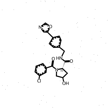 O=C(NCc1ccc(-c2cnco2)cc1)[C@@H]1CC(O)CN1C(=O)c1cccc(Cl)c1